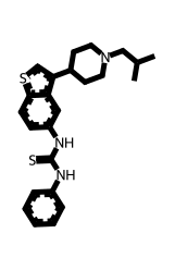 CC(C)CN1CCC(c2csc3ccc(NC(=S)Nc4ccccc4)cc23)CC1